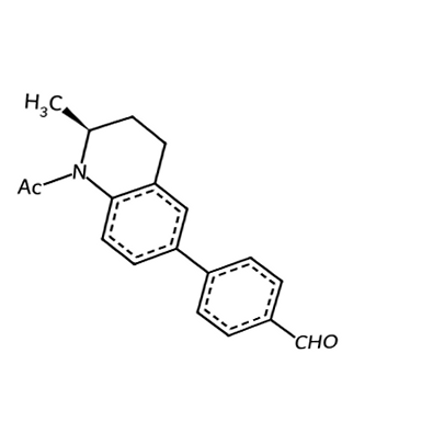 CC(=O)N1c2ccc(-c3ccc(C=O)cc3)cc2CC[C@@H]1C